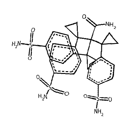 NC(=O)C(C1(c2ccc(S(N)(=O)=O)cc2)CC1)(C1(c2ccc(S(N)(=O)=O)cc2)CC1)C1(c2ccc(S(N)(=O)=O)cc2)CC1